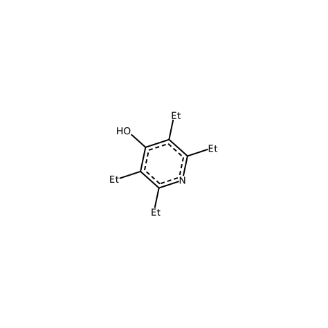 CCc1nc(CC)c(CC)c(O)c1CC